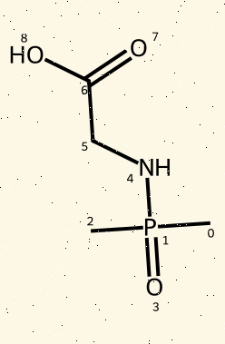 CP(C)(=O)NCC(=O)O